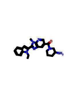 CCn1c(-c2nc3cc(C(=O)N4CCCC(N)C4)cnc3n2C)cc2ccccc21